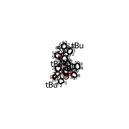 CC(C)(C)c1ccc2c(c1)C1(c3cc(C(C)(C)C)ccc3O2)c2ccccc2-c2ccc(N(c3ccc4c(c3)C(c3ccccc3)(c3ccccc3)c3ccccc3-4)C3c4ccc5c(c43)C3(c4ccccc4S5)c4cc(C(C)(C)C)ccc4-c4ccc(C(C)(C)C)cc43)cc21